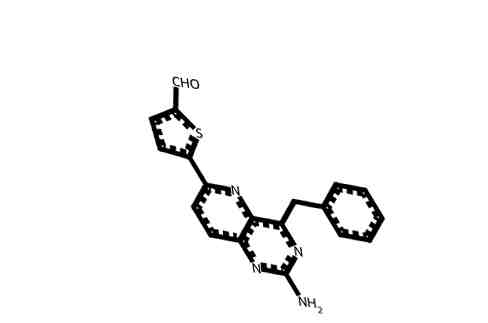 Nc1nc(Cc2ccccc2)c2nc(-c3ccc(C=O)s3)ccc2n1